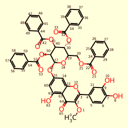 COc1c(-c2ccc(O)c(O)c2)oc2cc(O[C@@H]3OC(COC(=O)c4ccccc4)[C@@H](OC(=O)c4ccccc4)C(OC(=O)c4ccccc4)[C@@H]3OC(=O)c3ccccc3)cc(O)c2c1=O